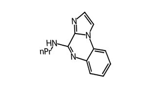 CCCNc1nc2ccccc2n2ccnc12